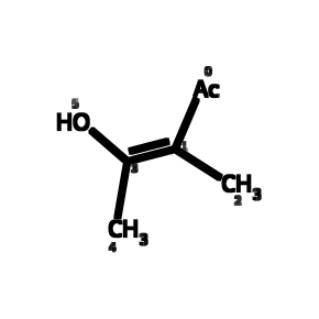 CC(=O)/C(C)=C(/C)O